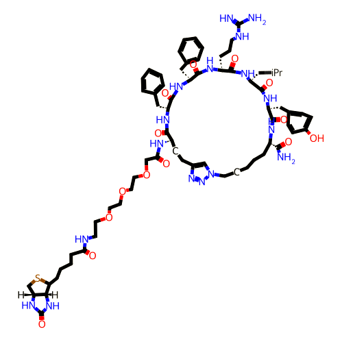 CC(C)C[C@H]1NC(=O)[C@@H](CCCNC(=N)N)NC(=O)[C@@H](Cc2ccccc2)NC(=O)[C@@H](Cc2ccccc2)NC(=O)[C@@H](NC(=O)COCCOCCOCCNC(=O)CCCCC2SC[C@H]3NC(=O)N[C@@H]23)CCc2cn(nn2)CCCCC[C@@H](C(N)=O)NC(=O)[C@@H](Cc2ccc(O)cc2)NC1=O